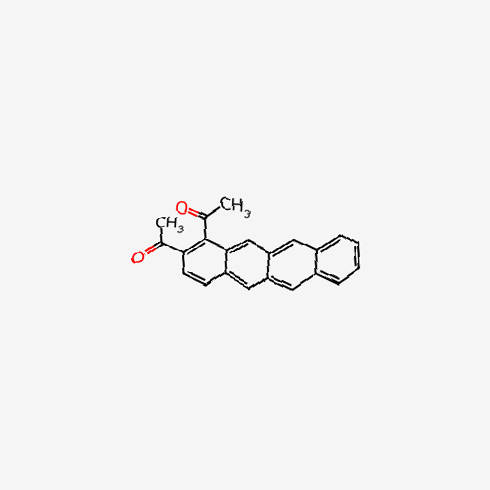 CC(=O)c1ccc2cc3cc4ccccc4cc3cc2c1C(C)=O